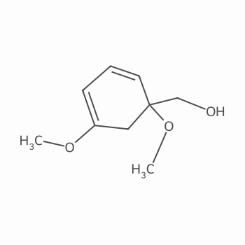 COC1=CC=CC(CO)(OC)C1